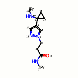 CC(C)NC(=O)CCn1cc(C2(NC(C)C)CC2)cn1